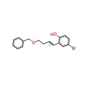 Oc1ccc(Br)cc1/C=C/CCOCc1ccccc1